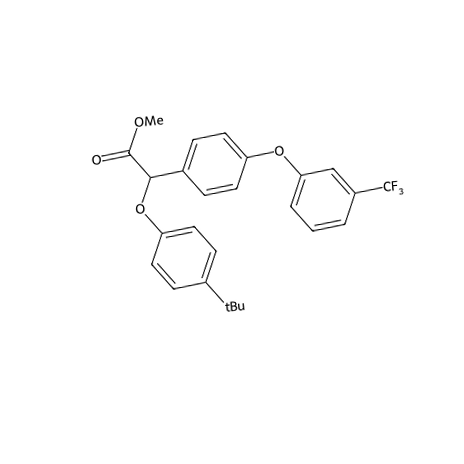 COC(=O)C(Oc1ccc(C(C)(C)C)cc1)c1ccc(Oc2cccc(C(F)(F)F)c2)cc1